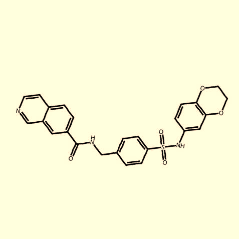 O=C(NCc1ccc(S(=O)(=O)Nc2ccc3c(c2)OCCO3)cc1)c1ccc2ccncc2c1